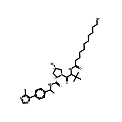 Cc1ncsc1-c1ccc(C(C)NC(=O)[C@@H]2C[C@@H](O)CN2C(=O)C(NC(=O)CCCCCCCCCCN)C(C)(C)C)cc1